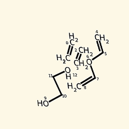 C=C.C=C.C=COC=C.OCCO